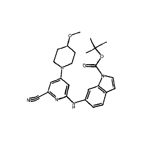 COC1CCN(c2cc(C#N)nc(Nc3ccc4ccn(C(=O)OC(C)(C)C)c4c3)c2)CC1